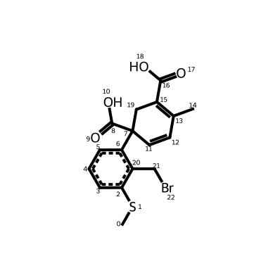 CSc1cccc(C2(C(=O)O)C=CC(C)=C(C(=O)O)C2)c1CBr